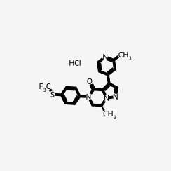 Cc1cc(-c2cnn3c2C(=O)N(c2ccc(SC(F)(F)F)cc2)C[C@@H]3C)ccn1.Cl